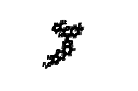 CCc1nocc1C(=O)NC(c1nc2cc(CN3CC(C(F)(F)F)NC3=O)ccc2o1)C1CCC(F)(F)CC1